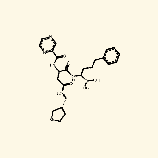 O=C(CC(NC(=O)c1cnccn1)C(=O)NC(CCCc1ccccc1)B(O)O)NC[C@@H]1CCOC1